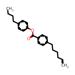 C=CCCCCc1ccc(C(=O)Oc2ccc(CCCC)cc2)cc1